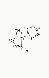 Cc1onc(O)c1-c1ccccc1